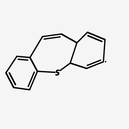 [C]1=CC2Sc3ccccc3C=CC2C=C1